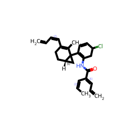 C=C/C=C\C1=C(C)C2(C3=C(NC(=O)C(/C=C\C)=C/C=C)CC(Cl)C=C3)C[C@@H]2CC1